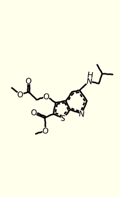 COC(=O)COc1c(C(=O)OC)sc2ncc(NCC(C)C)cc12